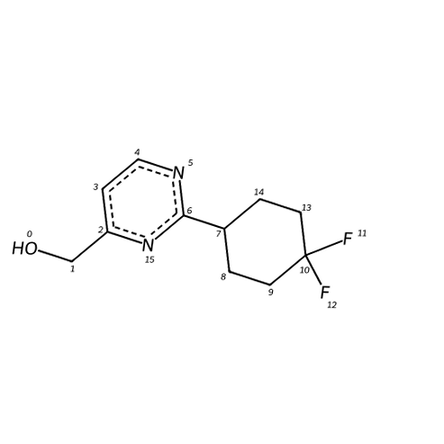 OCc1ccnc(C2CCC(F)(F)CC2)n1